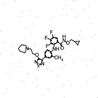 Cc1cc(-c2nsnc2OCCN2CCCCC2)ccc1Nc1c(C(=O)NOCC2CC2)cc(F)c(F)c1F